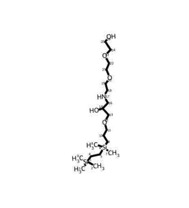 C[Si](C)(C)CC[Si](C)(C)CCCOCC(O)CNCCOCCOCCO